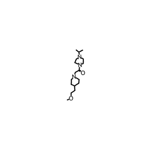 COCCC1CCN(CC(=O)N2CCN(C(C)C)CC2)CC1